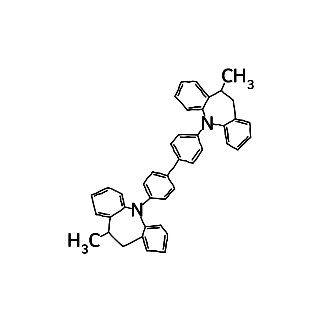 CC1Cc2ccccc2N(c2ccc(-c3ccc(N4c5ccccc5CC(C)c5ccccc54)cc3)cc2)c2ccccc21